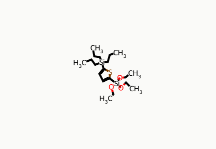 CCC[Si](CCC)(CCC)c1ccc([Si](OCC)(OCC)OCC)s1